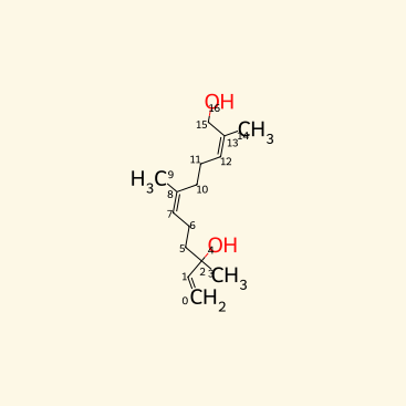 C=CC(C)(O)CCC=C(C)CCC=C(C)CO